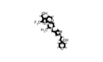 C[C@H]1C[C@@]2(CCN1Cc1cnn(CCC3(O)CCOCC3)c1)OCCc1c2sc(C(F)(F)F)c1CO